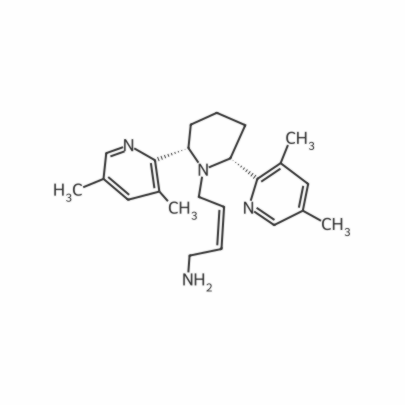 Cc1cnc([C@H]2CCC[C@@H](c3ncc(C)cc3C)N2C/C=C\CN)c(C)c1